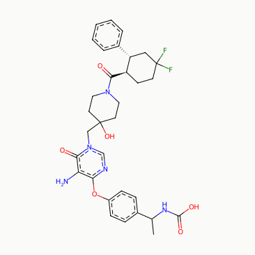 CC(NC(=O)O)c1ccc(Oc2ncn(CC3(O)CCN(C(=O)[C@@H]4CCC(F)(F)C[C@H]4c4ccccc4)CC3)c(=O)c2N)cc1